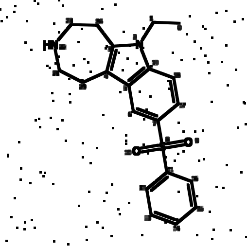 CCn1c2c(c3cc(S(=O)(=O)c4ccccc4)ccc31)CCNCC2